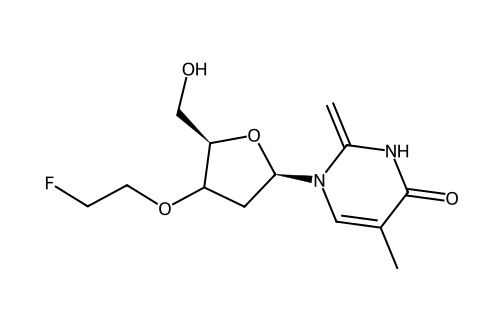 C=C1NC(=O)C(C)=CN1[C@H]1CC(OCCF)[C@@H](CO)O1